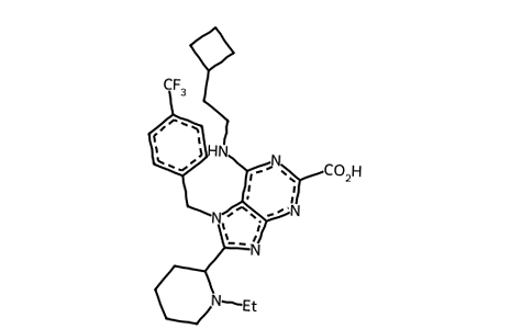 CCN1CCCCC1c1nc2nc(C(=O)O)nc(NCCC3CCC3)c2n1Cc1ccc(C(F)(F)F)cc1